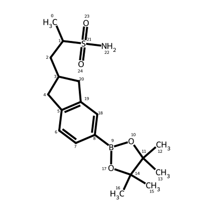 CC(CC1Cc2ccc(B3OC(C)(C)C(C)(C)O3)cc2C1)S(N)(=O)=O